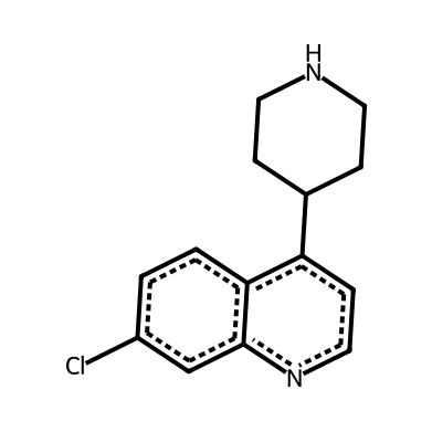 Clc1ccc2c(C3CCNCC3)ccnc2c1